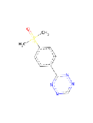 C[SH](C)(=O)c1ccc(-c2nncnn2)cc1